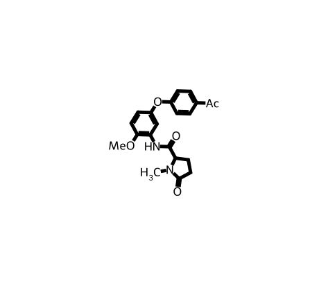 COc1ccc(Oc2ccc(C(C)=O)cc2)cc1NC(=O)C1CCC(=O)N1C